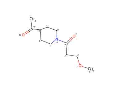 COCCC(=O)N1CCC(C(C)=O)CC1